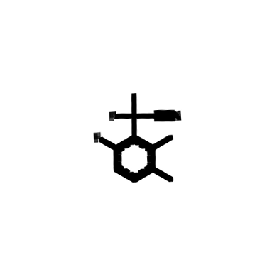 Cc1ccc(F)c(C(C)(F)C#N)c1C